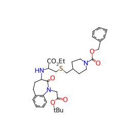 CCOC(=O)C(CSCC1CCN(C(=O)OCc2ccccc2)CC1)NC1CCc2ccccc2N(CC(=O)OC(C)(C)C)C1=O